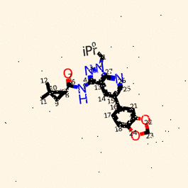 CC(C)Cn1nc(NC(=O)[C@H]2CC2(C)C)c2cc(-c3ccc4c(c3)OCO4)cnc21